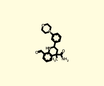 CC1(C(N)=O)CC(c2cccc(N3CCOCC3)c2)Nc2c([C]=O)cccc21